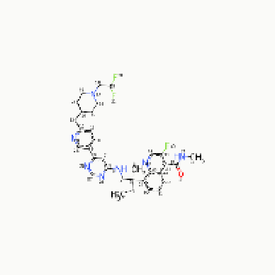 CC[C@@](C)(CNc1cc(-c2ccc(CC3CCN(CC(F)F)CC3)nc2)ncn1)c1cccc2c(C(=O)NC)c(F)cnc12